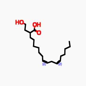 CCCCC/C=C\C/C=C\CCCCCCC(CCO)C(=O)O